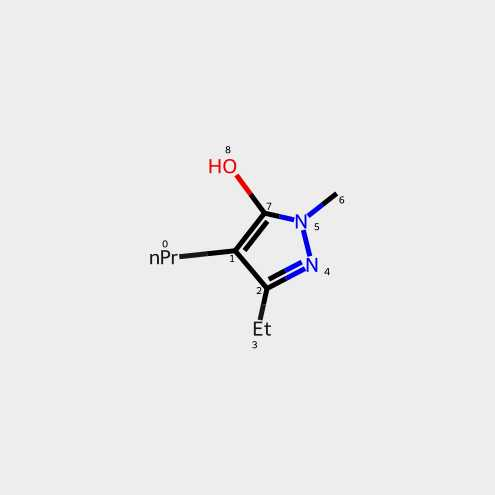 CCCc1c(CC)nn(C)c1O